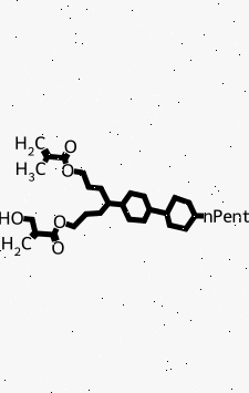 C=C(C)C(=O)OCCCC(CCCOC(=O)C(=C)CO)C1CCC(C2CCC(CCCCC)CC2)CC1